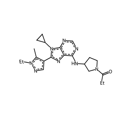 CCC(=O)N1CCC(Nc2ncnc3c2nc(-c2cnn(CC)c2C)n3C2CC2)C1